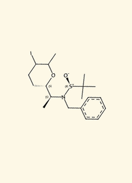 CC1O[C@H]([C@H](C)N(Cc2ccccc2)[S@@+]([O-])C(C)(C)C)CCC1I